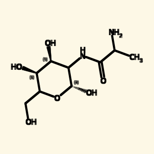 CC(N)C(=O)NC1[C@H](O)OC(CO)[C@@H](O)[C@H]1O